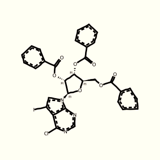 O=C(OC[C@H]1O[C@@H](n2cc(I)c3c(Cl)ncnc32)[C@H](OC(=O)c2ccccc2)[C@@H]1OC(=O)c1ccccc1)c1ccccc1